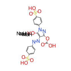 O=C(O)Oc1nn(-c2ccc(S(=O)(=O)O)cc2)c(O)c1N=Nc1ccc(S(=O)(=O)O)cc1.[NaH].[NaH].[NaH]